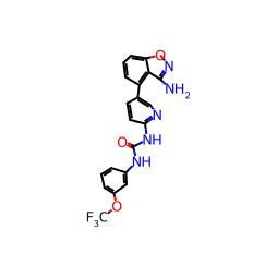 Nc1noc2cccc(-c3ccc(NC(=O)Nc4cccc(OC(F)(F)F)c4)nc3)c12